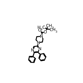 CC(C)(C)OC(=O)N1CCN(c2cnc(-c3ccccc3)c(-c3ccccc3)n2)CC1